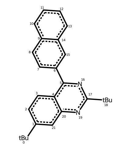 CC(C)(C)c1ccc2c(-c3ccc4ccccc4c3)nc(C(C)(C)C)nc2c1